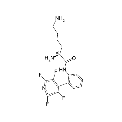 NCCCC[C@H](N)C(=O)Nc1ccccc1-c1c(F)c(F)nc(F)c1F